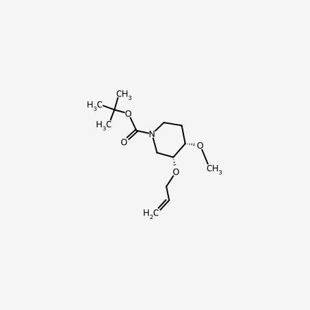 C=CCO[C@@H]1CN(C(=O)OC(C)(C)C)CC[C@@H]1OC